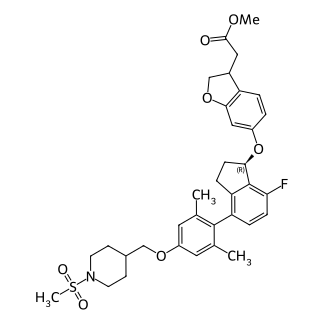 COC(=O)CC1COc2cc(O[C@@H]3CCc4c(-c5c(C)cc(OCC6CCN(S(C)(=O)=O)CC6)cc5C)ccc(F)c43)ccc21